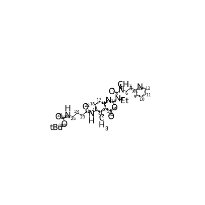 CCN(C(=O)N(C)CCc1ccccn1)c1nc2ccc(NC(=O)CCCNC(=O)OC(C)(C)C)c(C)c2c(=O)o1